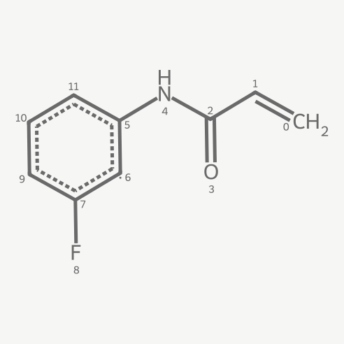 C=CC(=O)Nc1[c]c(F)ccc1